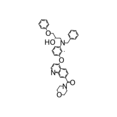 O=C(c1ccc2c(Oc3[c]c(N(Cc4ccccc4)C[C@H](O)COc4ccccc4)ccc3)ccnc2c1)N1CCOCC1